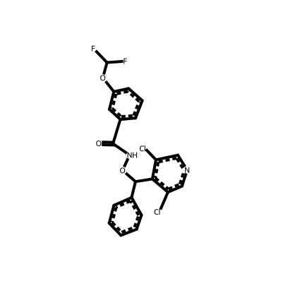 O=C(NOC(c1ccccc1)c1c(Cl)cncc1Cl)c1cccc(OC(F)F)c1